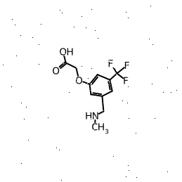 CNCc1cc(OCC(=O)O)cc(C(F)(F)F)c1